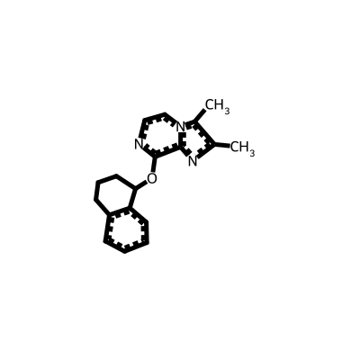 Cc1nc2c(OC3CCCc4ccccc43)nccn2c1C